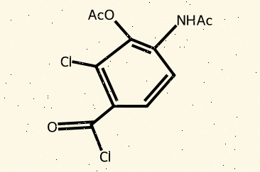 CC(=O)Nc1ccc(C(=O)Cl)c(Cl)c1OC(C)=O